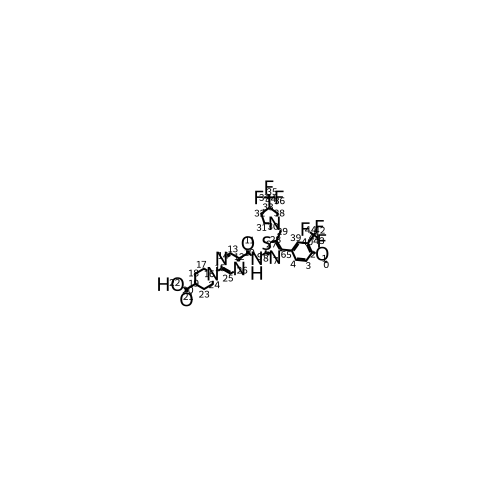 COc1ccc(-c2nc(NC(=O)c3cnc(N4CCC(C(=O)O)CC4)cn3)sc2CN2CCC(C(F)(F)F)C2)cc1C(F)(F)F